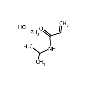 C=CC(=O)NC(C)C.Cl.P